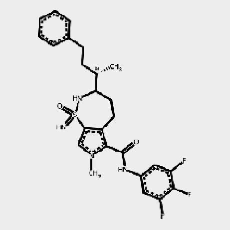 C[C@@H](CCc1ccccc1)C1CCc2c(cn(C)c2C(=O)Nc2cc(F)c(F)c(F)c2)S(=N)(=O)N1